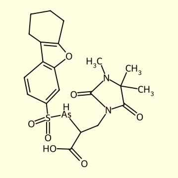 CN1C(=O)N(CC([AsH]S(=O)(=O)c2ccc3c4c(oc3c2)CCCC4)C(=O)O)C(=O)C1(C)C